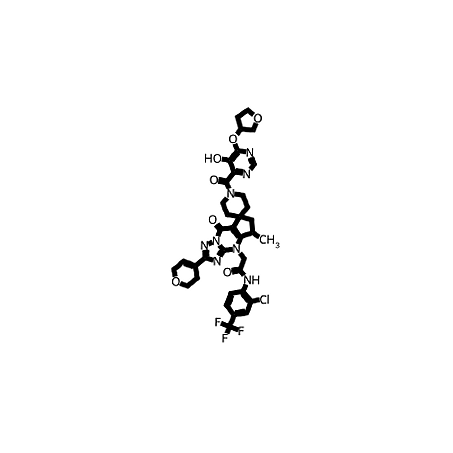 CC1CC2(CCN(C(=O)c3ncnc(OC4CCOC4)c3O)CC2)c2c1n(CC(=O)Nc1ccc(C(F)(F)F)cc1Cl)c1nc(C3=CCOCC3)nn1c2=O